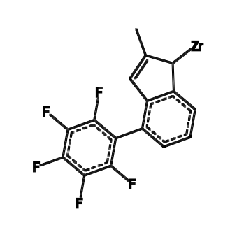 CC1=Cc2c(-c3c(F)c(F)c(F)c(F)c3F)cccc2[CH]1[Zr]